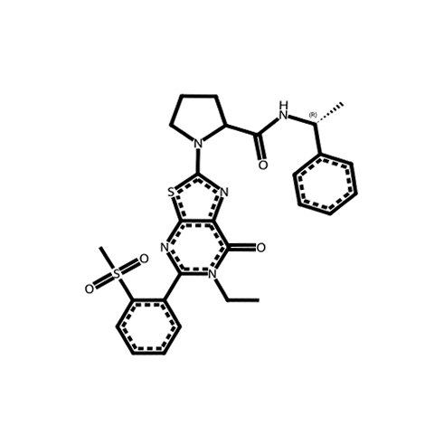 CCn1c(-c2ccccc2S(C)(=O)=O)nc2sc(N3CCCC3C(=O)N[C@H](C)c3ccccc3)nc2c1=O